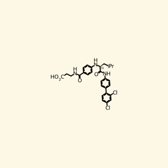 CC(C)C[C@H](Nc1ccc(C(=O)NCCC(=O)O)cc1)C(=O)Nc1ccc(-c2ccc(Cl)cc2Cl)cc1